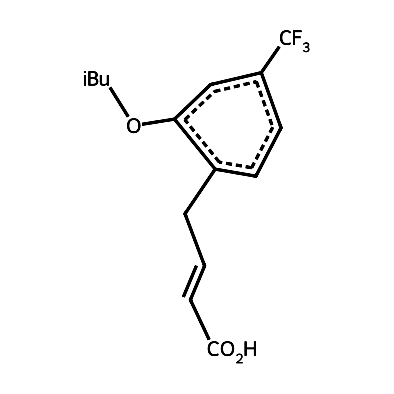 CCC(C)Oc1cc(C(F)(F)F)ccc1CC=CC(=O)O